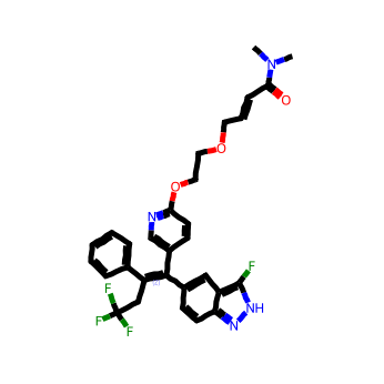 CN(C)C(=O)C=CCOCCOc1ccc(/C(=C(/CC(F)(F)F)c2ccccc2)c2ccc3n[nH]c(F)c3c2)cn1